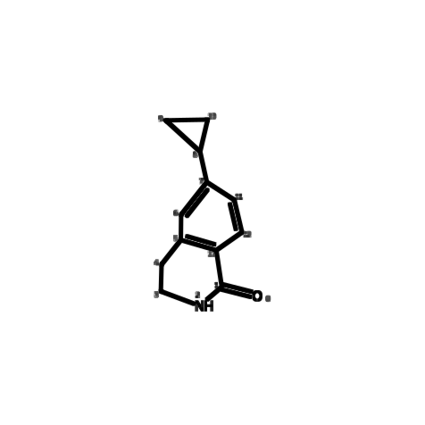 O=C1NCCc2cc(C3CC3)ccc21